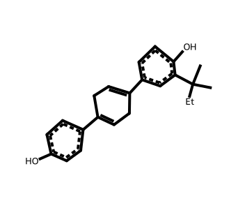 CCC(C)(C)c1cc(C2=CCC(c3ccc(O)cc3)=CC2)ccc1O